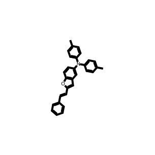 Cc1ccc(N(c2ccc(C)cc2)c2ccc3oc(C=Cc4ccccc4)cc3c2)cc1